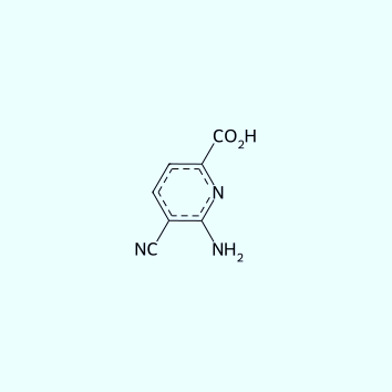 N#Cc1ccc(C(=O)O)nc1N